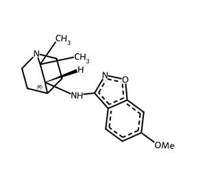 COc1ccc2c(N[C@@H]3C4CCN(CC4)C3(C)C)noc2c1